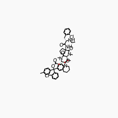 CCN[C@@H](Cc1ccccc1Cl)C(=O)NC1(C(=O)N(C)[C@H](C(=O)N(C)[C@@H](CC(=O)OC(c2ccccc2)(c2ccc(C)cc2)c2ccccc2Cl)C(=O)N2CCCCC2)C(C)C)CCCC1